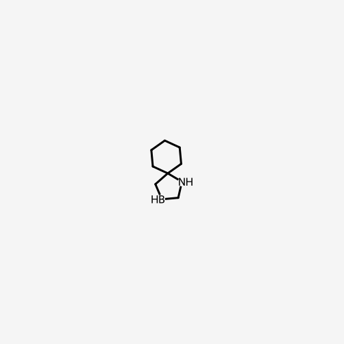 B1CNC2(C1)CCCCC2